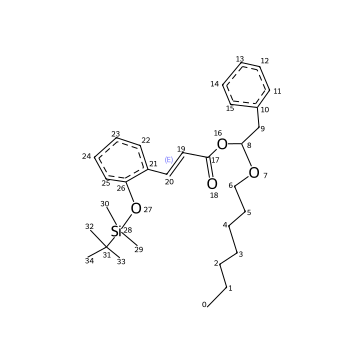 CCCCCCCOC(Cc1ccccc1)OC(=O)/C=C/c1ccccc1O[Si](C)(C)C(C)(C)C